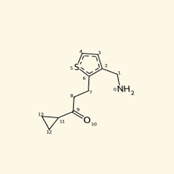 NCc1ccsc1CCC(=O)C1CC1